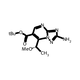 CO[C@@H](C)c1c(C(=O)OC(C)(C)C)cnc2nc(N)nn12